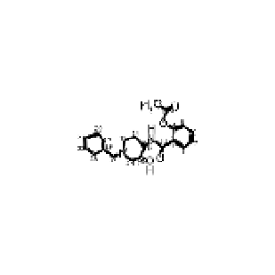 CC(=O)Oc1ccccc1C(=O)N[C@@H]1CCN(Cc2ccccc2)C[C@@H]1O